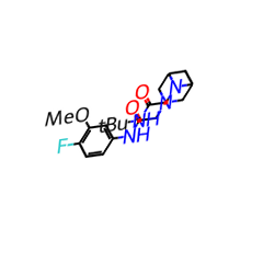 COc1cc(NC(=O)CN2CC3CC(C2)N3CC(=O)NC(C)(C)C)ccc1F